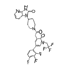 O=C(Cc1cc(-c2ccc(F)c(F)c2F)cn(CC(F)(F)F)c1=O)N1CCC(n2c(=O)[nH]c3ncccc32)CC1